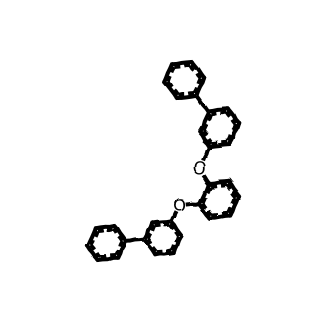 c1ccc(-c2cccc(Oc3ccccc3Oc3cccc(-c4ccccc4)c3)c2)cc1